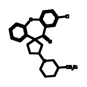 CCOC(=O)C1CCCN(C2CCC3(C2)C(=O)c2cc(Cl)ccc2Oc2ccccc23)C1